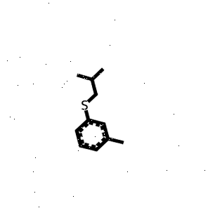 Cc1cccc(SCC(C)C)c1